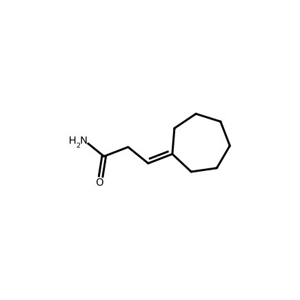 NC(=O)CC=C1CCCCCC1